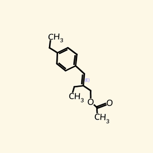 CC/C(=C\c1ccc(CC)cc1)COC(C)=O